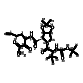 C=CCCC(NC(=O)[C@@H]1C2OC(C)(C)OC2CN1C(=O)[C@@H](NC(=O)OC(C)(C)C)C(C)(C)C)C(=O)C(N)=O